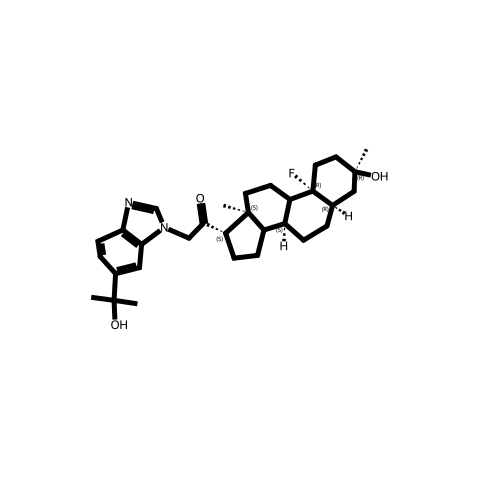 CC(C)(O)c1ccc2ncn(CC(=O)[C@H]3CCC4[C@@H]5CC[C@@H]6C[C@](C)(O)CC[C@]6(F)C5CC[C@@]43C)c2c1